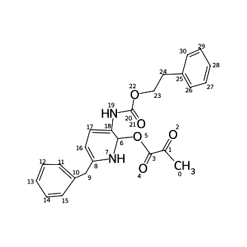 CC(=O)C(=O)OC1NC(Cc2ccccc2)=CC=C1NC(=O)OCCc1ccccc1